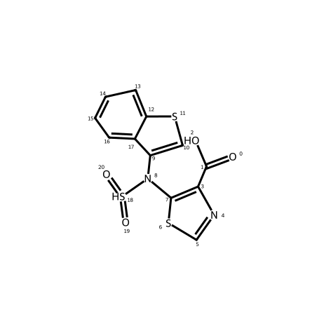 O=C(O)c1ncsc1N(c1csc2ccccc12)[SH](=O)=O